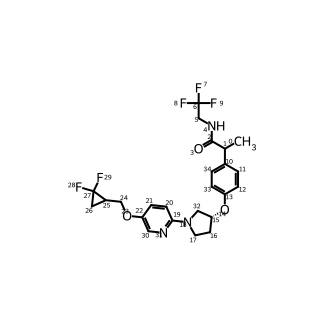 CC(C(=O)NCC(F)(F)F)c1ccc(O[C@@H]2CCN(c3ccc(OCC4CC4(F)F)cn3)C2)cc1